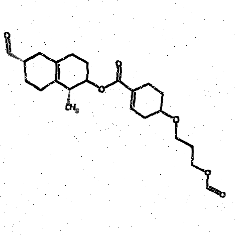 C[C@@H]1C2=C(CCC1OC(=O)C1=CCC(OCCCOC=O)CC1)C[C@@H](C=O)CC2